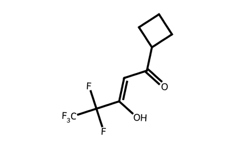 O=C(/C=C(\O)C(F)(F)C(F)(F)F)C1CCC1